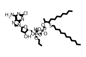 CCCCCCCCCCCSC(CCCCCCCC)C(C)OOP(=O)(O)OP(=O)(OCCC)OC[C@H]1O[C@@H](n2cnc3c(N)nc(Cl)nc32)C[C@@H]1O